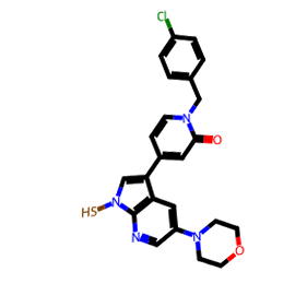 O=c1cc(-c2cn(S)c3ncc(N4CCOCC4)cc23)ccn1Cc1ccc(Cl)cc1